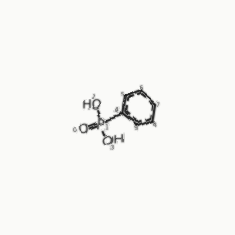 O=P(O)(O)c1[c]cccc1